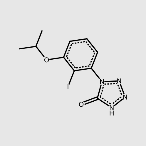 CC(C)Oc1cccc(-n2nn[nH]c2=O)c1I